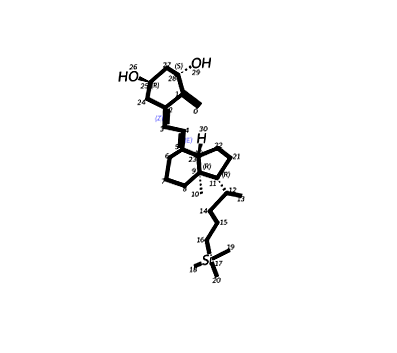 C=C1/C(=C\C=C2/CCC[C@]3(C)[C@@H](C(C)CCC[Si](C)(C)C)CC[C@@H]23)C[C@@H](O)C[C@@H]1O